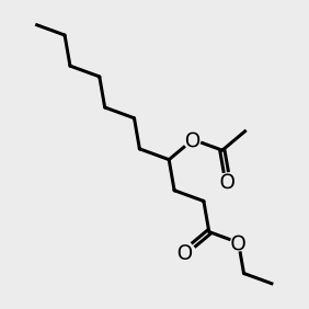 CCCCCCCC(CCC(=O)OCC)OC(C)=O